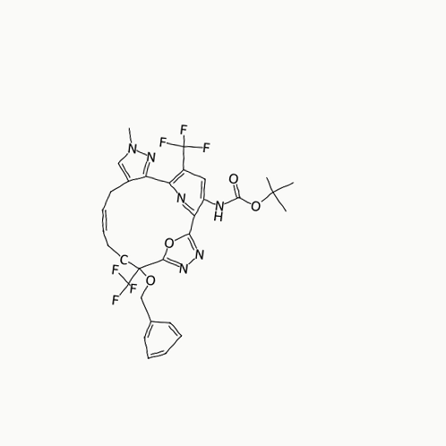 Cn1cc2c(n1)-c1nc(c(NC(=O)OC(C)(C)C)cc1C(F)(F)F)-c1nnc(o1)C(OCc1ccccc1)(C(F)(F)F)CC/C=C\C2